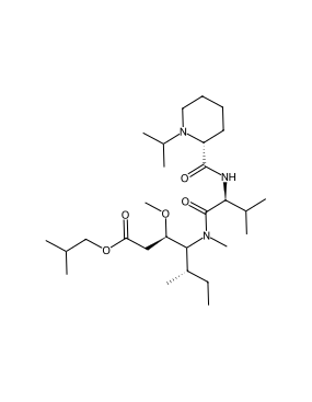 CC[C@H](C)C([C@@H](CC(=O)OCC(C)C)OC)N(C)C(=O)[C@@H](NC(=O)[C@H]1CCCCN1C(C)C)C(C)C